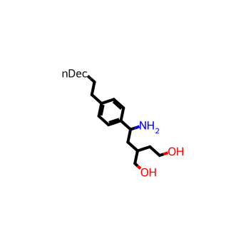 CCCCCCCCCCCCc1ccc(C(N)CC(CO)CCO)cc1